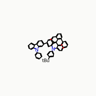 CC(C)(C)c1ccc(N(c2cccc(-c3ccc4c5ccccc5n(-c5ccccc5)c4c3)c2)c2ccccc2-c2cccc3cccc(-c4ccccc4)c23)cc1